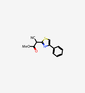 COC(=O)C(C#N)c1nc(-c2ccccc2)cs1